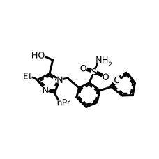 CCCc1nc(CC)c(CO)n1Cc1cccc(-c2ccccc2)c1S(N)(=O)=O